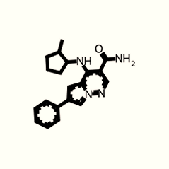 CC1CCCC1Nc1c(C(N)=O)cnn2cc(-c3ccccc3)cc12